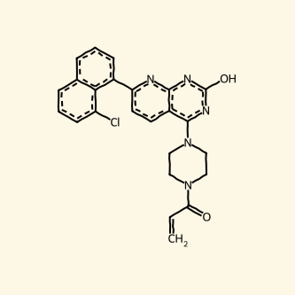 C=CC(=O)N1CCN(c2nc(O)nc3nc(-c4cccc5cccc(Cl)c45)ccc23)CC1